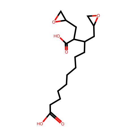 O=C(O)CCCCCCCCC(CC1CO1)C(CC1CO1)C(=O)O